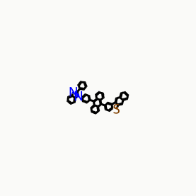 c1ccc(-c2nc3ccccc3n2-c2ccc(-c3c4ccccc4c(-c4ccc5sc6cc7ccccc7cc6c5c4)c4ccccc34)cc2)cc1